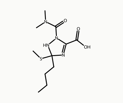 CCCCC1(SC)N=C(C(=O)O)N(C(=O)N(C)C)N1